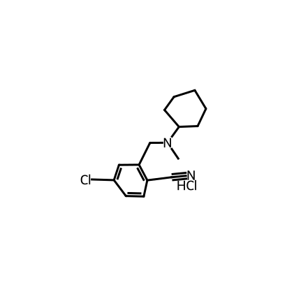 CN(Cc1cc(Cl)ccc1C#N)C1CCCCC1.Cl